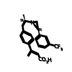 CC(=CC(=O)O)c1ccc(C[C@H](C)N2C[C@@H]2c2cccc(C(F)(F)F)c2)cc1